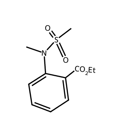 CCOC(=O)c1ccccc1N(C)S(C)(=O)=O